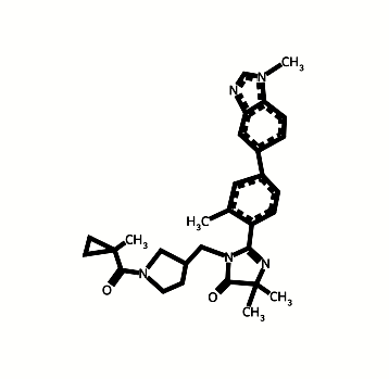 Cc1cc(-c2ccc3c(c2)ncn3C)ccc1C1=NC(C)(C)C(=O)N1CC1CCN(C(=O)C2(C)CC2)C1